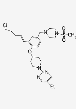 CCc1cnc(N2CCC(Oc3ccc(CN4CCN(S(C)(=O)=O)CC4)cc3/C=C/CCCCl)CC2)nc1